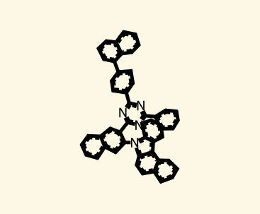 c1ccc(-c2nc(-c3ccc(-c4cccc5ccccc45)cc3)nc(-c3cc4ccccc4cc3-n3c4ccccc4c4c5ccccc5ccc43)n2)cc1